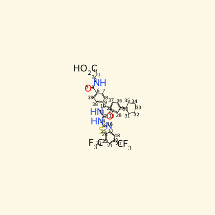 O=C(O)CCNC(=O)c1ccc(C(NC(=O)Nc2nc3cc(C(F)(F)F)cc(C(F)(F)F)c3s2)c2ccc(C3CCCCC3)cc2)cc1